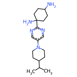 CC(C)C1CCN(c2cnc(C3(N)CCC(N)CC3)nc2)CC1